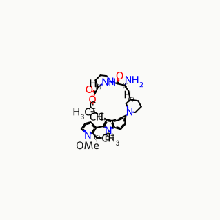 CCn1c(-c2cccnc2[C@H](C)OC)c2c3cc(ccc31)N1CCC[C@@H](C[C@H](N)C(=O)N3CCC[C@H](N3)C(=O)OCC(C)(C)C2)C1